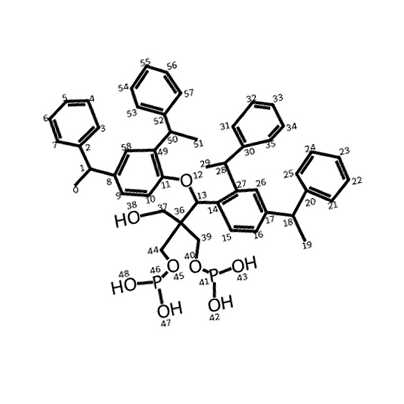 CC(c1ccccc1)c1ccc(OC(c2ccc(C(C)c3ccccc3)cc2C(C)c2ccccc2)C(CO)(COP(O)O)COP(O)O)c(C(C)c2ccccc2)c1